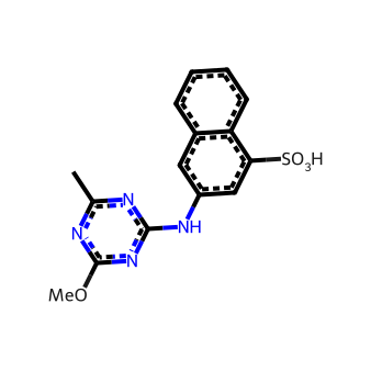 COc1nc(C)nc(Nc2cc(S(=O)(=O)O)c3ccccc3c2)n1